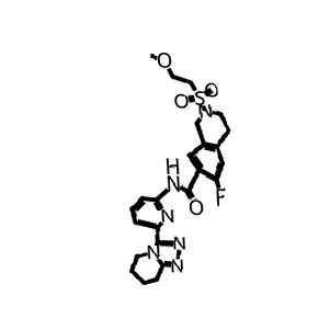 COCCS(=O)(=O)N1CCc2cc(F)c(C(=O)Nc3cccc(-c4nnc5n4CCCC5)n3)cc2C1